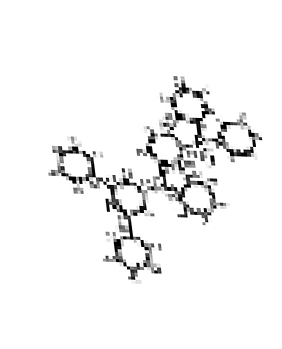 O=P1(c2ccccc2)c2ccccc2-c2ccc3c(c21)c1ccccc1n3-c1cc(-c2ccccc2)nc(-c2ccccc2)c1